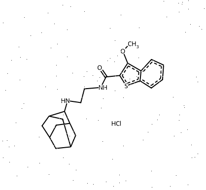 COc1c(C(=O)NCCNC2C3CC4CC(C3)CC2C4)sc2ccccc12.Cl